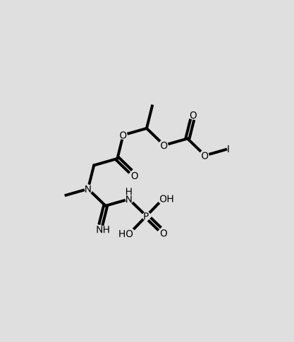 CC(OC(=O)CN(C)C(=N)NP(=O)(O)O)OC(=O)OI